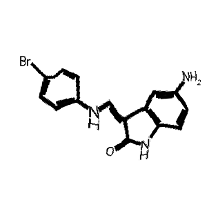 Nc1ccc2c(c1)/C(=C/Nc1ccc(Br)cc1)C(=O)N2